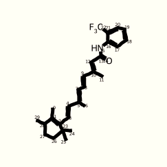 CC1=C(/C=C/C(C)=C/C=C/C(C)=C/C(=O)Nc2ccccc2C(F)(F)F)C(C)(C)CCC1C